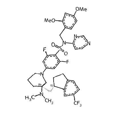 COc1ccc(CN(c2ccncn2)S(=O)(=O)c2c(F)cc(N3CCC[C@](C[C@@H]4CCc5ccc(C(F)(F)F)cc54)(N(C)C)C3)cc2F)c(OC)c1